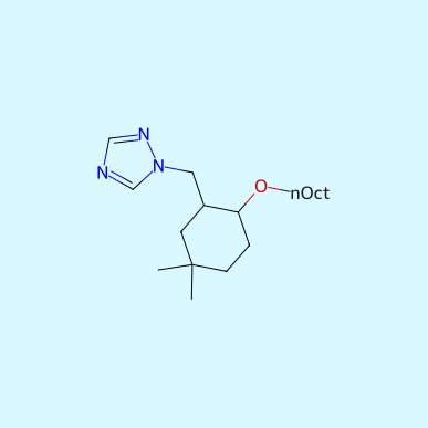 CCCCCCCCOC1CCC(C)(C)CC1Cn1cncn1